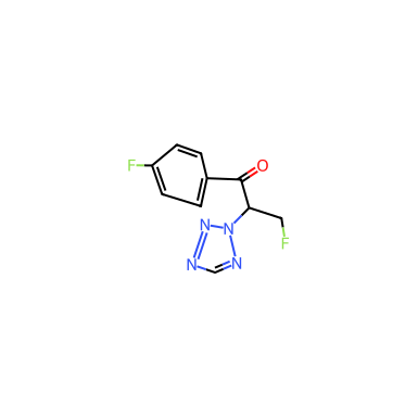 O=C(c1ccc(F)cc1)C(CF)n1ncnn1